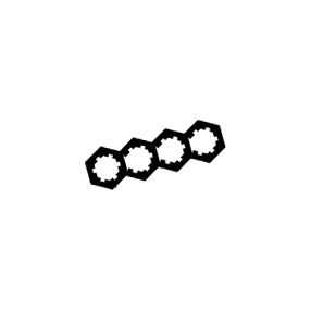 [c]1cccc2cc3cc4ccccc4cc3cc12